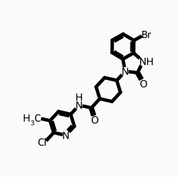 Cc1cc(NC(=O)C2CCC(n3c(=O)[nH]c4c(Br)cccc43)CC2)cnc1Cl